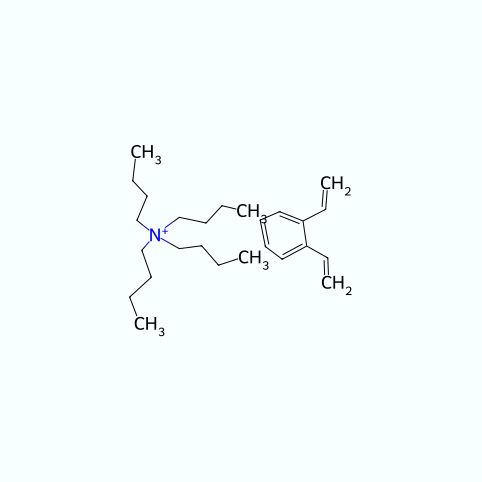 C=Cc1ccccc1C=C.CCCC[N+](CCCC)(CCCC)CCCC